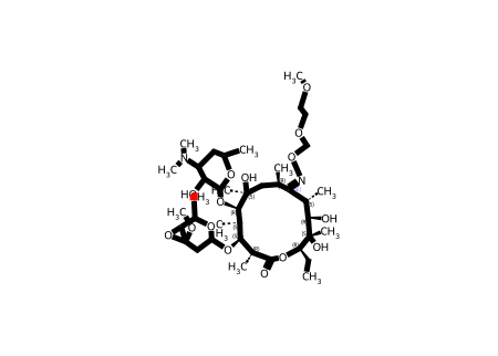 CC[C@H]1OC(=O)[C@H](C)[C@@H](OC2CC3(OC)OC3C(C)O2)[C@H](C)[C@@H](OC2OC(C)CC(N(C)C)C2O)[C@@](C)(O)C[C@@H](C)/C(=N\OCOCCOC)[C@H](C)[C@@H](O)[C@]1(C)O